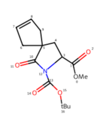 COC(=O)C1CC2(CC=CC2)C(=O)N1C(=O)OC(C)(C)C